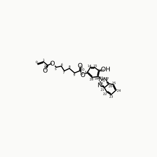 C=CC(=O)OCCCCCC(=O)Oc1ccc(O)c(-n2nc3ccccc3n2)c1